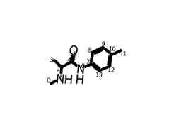 CNC(C)C(=O)Nc1ccc(C)cc1